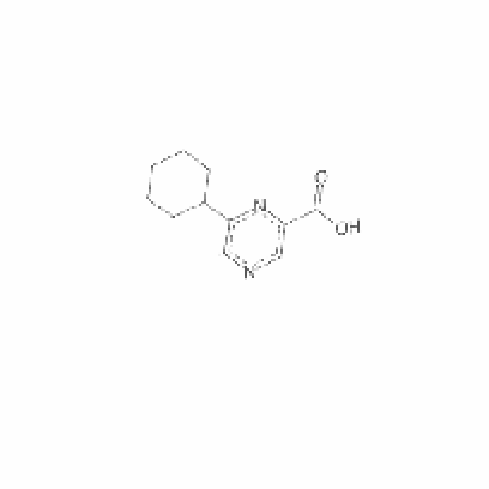 O=C(O)c1cn[c]c(C2CCCCC2)n1